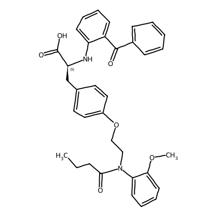 CCCC(=O)N(CCOc1ccc(C[C@H](Nc2ccccc2C(=O)c2ccccc2)C(=O)O)cc1)c1ccccc1OC